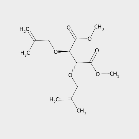 C=C(C)CO[C@@H](C(=O)OC)[C@@H](OCC(=C)C)C(=O)OC